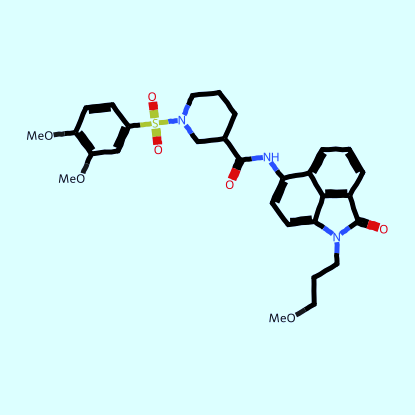 COCCCN1C(=O)c2cccc3c(NC(=O)C4CCCN(S(=O)(=O)c5ccc(OC)c(OC)c5)C4)ccc1c23